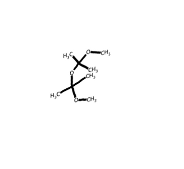 COC(C)(C)OC(C)(C)OC